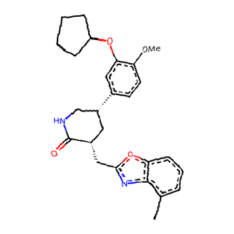 COc1ccc([C@H]2CNC(=O)[C@@H](Cc3nc4c(C)cccc4o3)C2)cc1OC1CCCC1